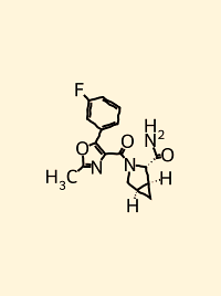 Cc1nc(C(=O)N2C[C@@H]3C[C@@H]3[C@H]2C(N)=O)c(-c2cccc(F)c2)o1